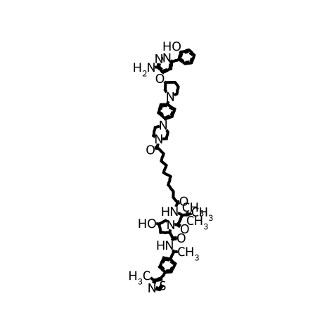 Cc1ncsc1-c1ccc(C(C)NC(=O)C2CC(O)CN2C(=O)C(NC(=O)CCCCCCCCC(=O)N2CCN(c3ccc(N4CCCC(Oc5cc(-c6ccccc6O)nnc5N)C4)cc3)CC2)C(C)(C)C)cc1